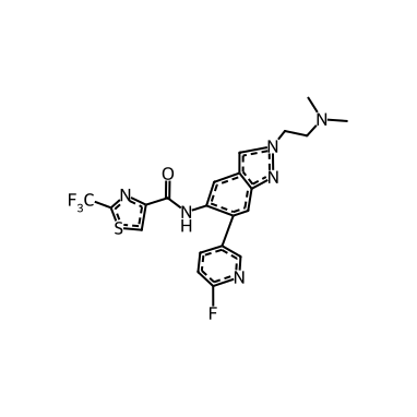 CN(C)CCn1cc2cc(NC(=O)c3csc(C(F)(F)F)n3)c(-c3ccc(F)nc3)cc2n1